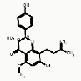 C=C(C)CCc1c(O)cc(OC)c2c1O[C@H](c1ccc(O)cc1)[C@@H](O)C2=O